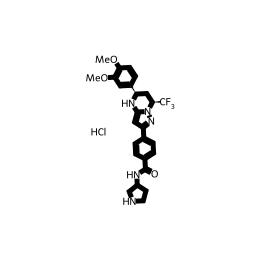 COc1ccc([C@@H]2C[C@H](C(F)(F)F)n3nc(-c4ccc(C(=O)NC5CCNC5)cc4)cc3N2)cc1OC.Cl